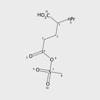 CCCC(CCC(=O)OS(C)(=O)=O)C(=O)O